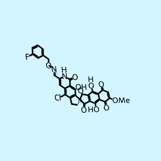 COC1=CC(=O)c2c(O)c3c(c(O)c2C1=O)C(=O)[C@]1(CCc2c1c(O)c1c(=O)[nH]c(/C=N/OCc4cccc(F)c4)cc1c2Cl)C3=O